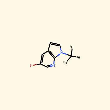 [2H]C([2H])([2H])n1ccc2cc(Br)cnc21